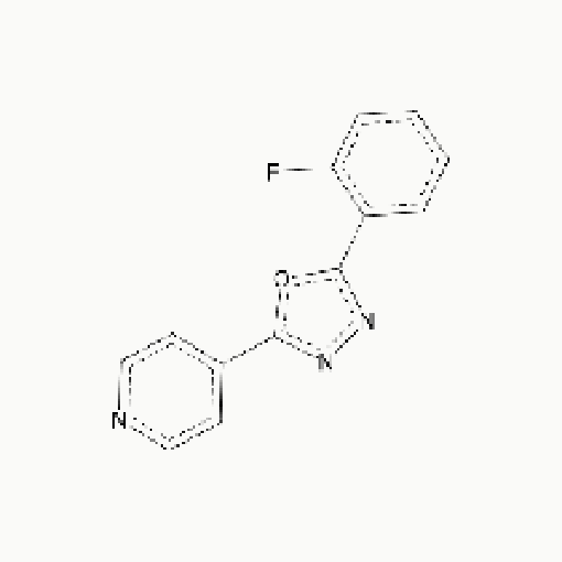 Fc1ccccc1-c1nnc(-c2ccncc2)o1